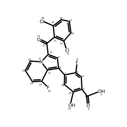 O=C(O)c1cc(F)c(-c2cc(C(=O)c3c(Cl)cccc3Cl)n3cccc(F)c23)cc1O